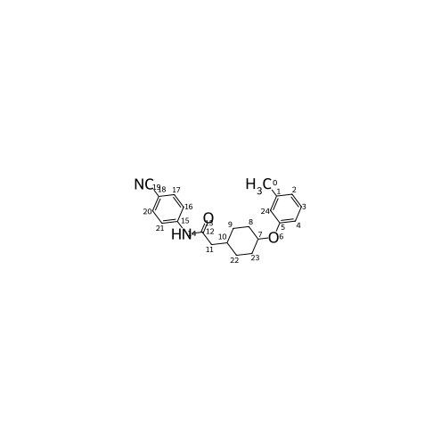 Cc1cccc(OC2CCC(CC(=O)Nc3ccc(C#N)cc3)CC2)c1